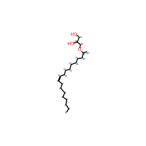 CCCCCCCC/C=C\CCCCCCCC(C)OCC(O)CO